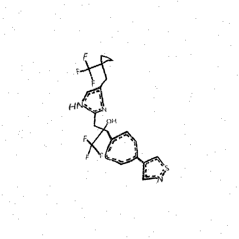 OC(Cc1nc(CC2(C(F)(F)F)CC2)c[nH]1)(c1ccc(-c2cnsc2)cc1)C(F)(F)F